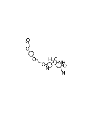 Cc1[nH]c(=O)c(C#N)cc1-c1ccc(OCCCOc2ccc(OCC3CO3)cc2)nc1